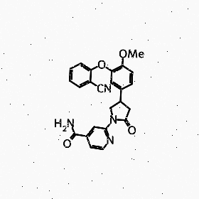 COc1ccc(C2CC(=O)N(c3cc(C(N)=O)ccn3)C2)cc1Oc1ccccc1C#N